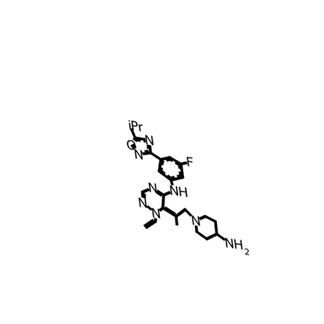 C=CN1N=CN=C(Nc2cc(F)cc(-c3noc(C(C)C)n3)c2)/C1=C(/C)CN1CCC(N)CC1